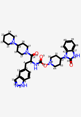 O=C(NC(Cc1ccc2[nH]ncc2c1)C(=O)N1CCC(N2CCCCC2)CC1)ON1CCC(n2c(=O)[nH]c3ccccc32)CC1